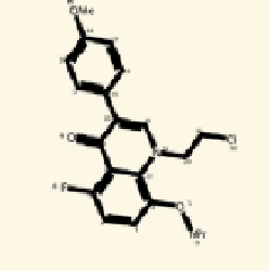 CCCOc1ccc(F)c2c(=O)c(-c3ccc(OC)cc3)cn(CCCl)c12